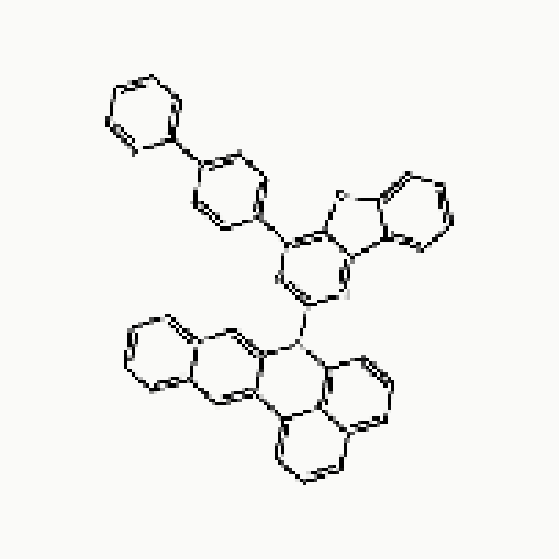 c1ccc(-c2ccc(-c3nc(N4c5cc6ccccc6cc5-c5cccc6cccc4c56)nc4c3sc3ccccc34)cc2)nc1